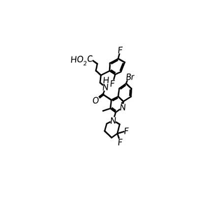 Cc1c(N2CCCC(F)(F)C2)nc2ccc(Br)cc2c1C(=O)NCC(CCC(=O)O)c1cc(F)ccc1F